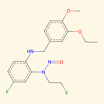 CCOc1cc(CNc2ccc(F)cc2N(CCF)N=O)ccc1OC